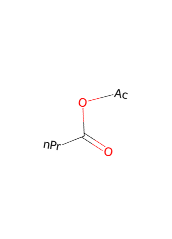 CCCC(=O)OC(C)=O